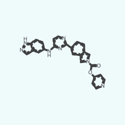 O=C(Oc1ccncc1)n1cc2ccc(-c3nccc(Nc4ccc5[nH]ncc5c4)n3)cc2c1